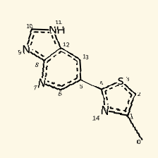 Cc1csc(-c2cnc3nc[nH]c3c2)n1